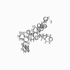 O=C(NCC1CCOCC1)c1nc(OS(=O)(=O)CCC(F)(F)F)ccc1NC(=O)c1ccc(Cn2ccnn2)c2ccccc12